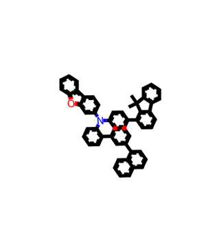 CC1(C)c2ccccc2-c2cccc(-c3ccc(N(c4ccc5c(c4)oc4ccccc45)c4ccccc4-c4cccc(-c5cccc6ccccc56)c4)cc3)c21